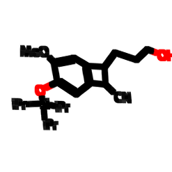 COc1cc2c(cc1O[Si](C(C)C)(C(C)C)C(C)C)C(C#N)C2CCCO